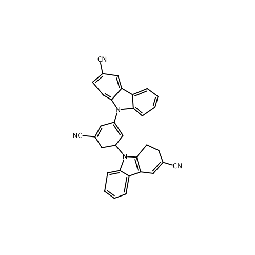 N#CC1=Cc2c(n(C3C=C(n4c5ccccc5c5cc(C#N)ccc54)C=C(C#N)C3)c3ccccc23)CC1